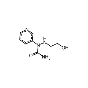 NC(=O)N(NCCO)c1cccnc1